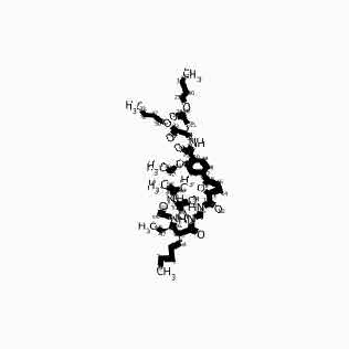 CCCCC[C@@H](C(=O)NCNC(=O)c1ccc(-c2ccc(C(=O)N[C@@H](CC(=O)OCCCC)C(=O)OCCCC)c(OCC)c2)o1)[C@@H](CC)N(C=O)OC(=O)NC(C)C